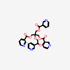 O=C(COC(COC(=O)c1cccnc1)(COC(=O)c1cccnc1)COC(=O)c1cccnc1)c1cccnc1